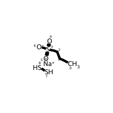 CCCS(=O)(=O)[O-].SS.[Na+]